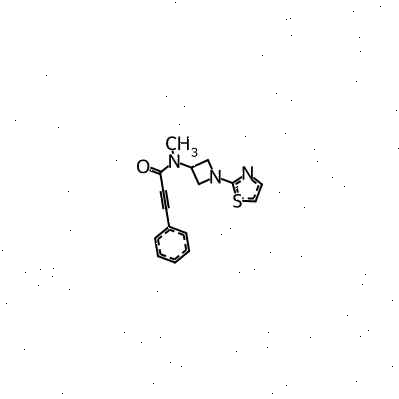 CN(C(=O)C#Cc1ccccc1)C1CN(c2nccs2)C1